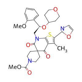 COC(=O)N1CCC2(CC1)C(=O)c1c(sc(-c3ncco3)c1C)N(C[C@H](OC1CCOCC1)c1ccccc1OC)C2=O